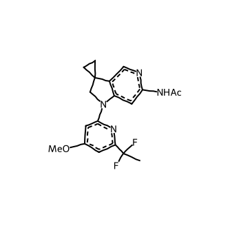 COc1cc(N2CC3(CC3)c3cnc(NC(C)=O)cc32)nc(C(C)(F)F)c1